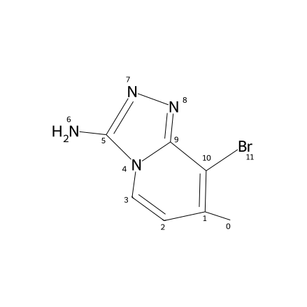 Cc1ccn2c(N)nnc2c1Br